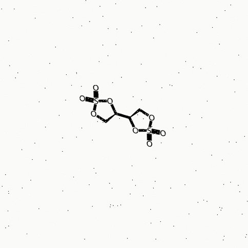 O=S1(=O)OC[C@H]([C@H]2COS(=O)(=O)O2)O1